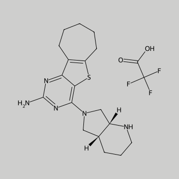 Nc1nc(N2C[C@H]3CCCN[C@H]3C2)c2sc3c(c2n1)CCCCC3.O=C(O)C(F)(F)F